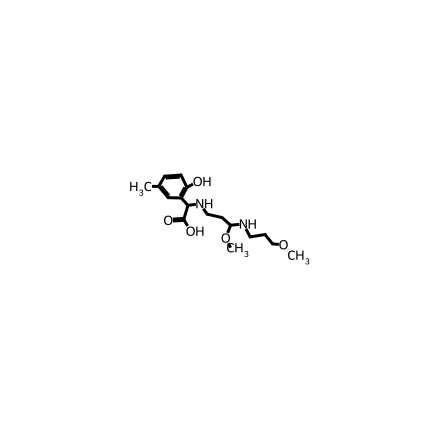 COCCCNC(CCNC(C(=O)O)c1cc(C)ccc1O)OC